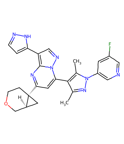 Cc1nn(-c2cncc(F)c2)c(C)c1-c1cc([C@@]23CCOC[C@@H]2C3)nc2c(-c3ccn[nH]3)cnn12